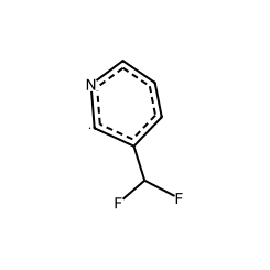 FC(F)c1[c]nccc1